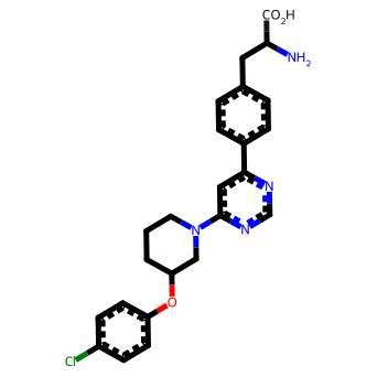 NC(Cc1ccc(-c2cc(N3CCCC(Oc4ccc(Cl)cc4)C3)ncn2)cc1)C(=O)O